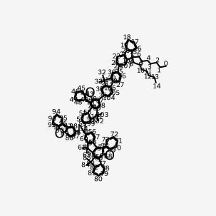 CCCCCCCC1(CCCCCCC)c2ccccc2-c2ccc(-c3ccc4c(c3)C(C)(C)c3cc(-c5cc6c(c7c5oc5ccccc57)-c5ccc(N(c7ccc8c(c7)C(C)(C)c7c9c(c%10oc%11ccccc%11c%10c7-8)-c7ccccc7C9(C)C)c7ccc8oc9ccccc9c8c7)cc5C6(C)C)ccc3-4)cc21